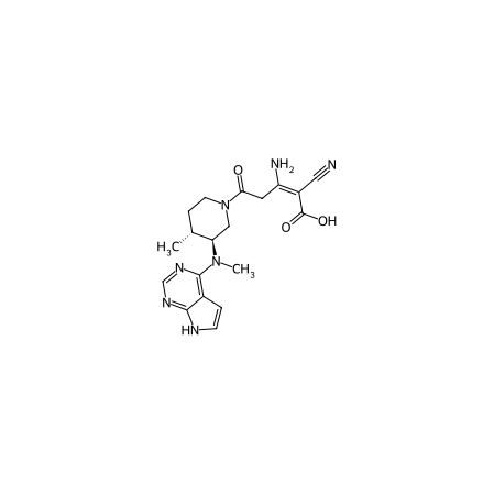 C[C@@H]1CCN(C(=O)C/C(N)=C(/C#N)C(=O)O)C[C@H]1N(C)c1ncnc2[nH]ccc12